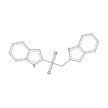 O=S(=O)(Cc1cc2ccccc2s1)c1cc2ccccc2s1